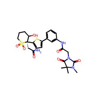 CN1C(=O)N(CC(=O)Nc2cccc(-c3ccc([C@]4(CC(N)=O)C(O)CCCS4(=O)=O)s3)c2)C(=O)C1(C)C